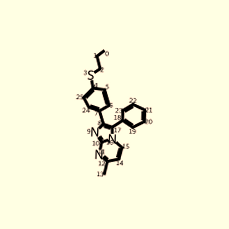 CCCSc1ccc(-c2nc3nc(C)ccn3c2-c2ccccc2)cc1